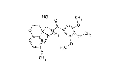 COc1ccc2c(c1)C(COC(=O)c1cc(OC)c(OC)c(OC)c1)(N(C)C)CCO2.Cl